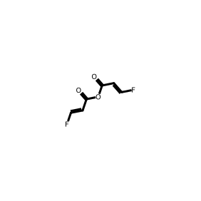 O=C(C=CF)OC(=O)C=CF